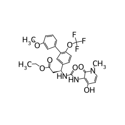 CCOC(=O)C[C@H](NC(=O)Nc1c(O)ccn(C)c1=O)c1ccc(OC(F)(F)F)c(-c2cccc(OC)c2)c1